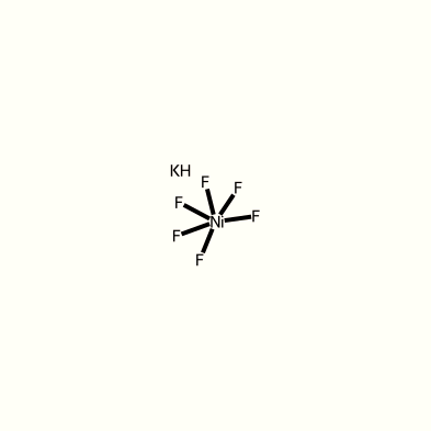 [F][Ni]([F])([F])([F])([F])[F].[KH]